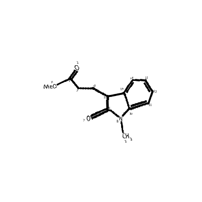 COC(=O)CCC1C(=O)N(C)c2ccccc21